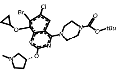 CN1CC[C@@H](Oc2nc(N3CCN(C(=O)OC(C)(C)C)CC3)c3cc(Cl)c(Br)c(OC4CC4)c3n2)C1